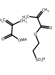 C=C(C)C(=O)OC.C=C(C)C(=O)OCCS(=O)(=O)O